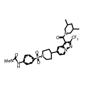 CNC(=O)Nc1ccc(S(=O)(=O)N2CCC(c3ccn4nc(C(F)(F)F)c(C(=O)N5CC(C)CC(C)C5)c4c3)CC2)cc1